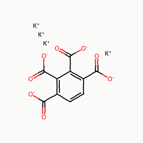 O=C([O-])c1ccc(C(=O)[O-])c(C(=O)[O-])c1C(=O)[O-].[K+].[K+].[K+].[K+]